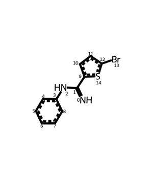 N=C(Nc1ccccc1)c1ccc(Br)s1